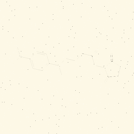 CN(C)c1ccc(N(C)CCCC(=O)ON2C(=O)CCC2=O)cc1